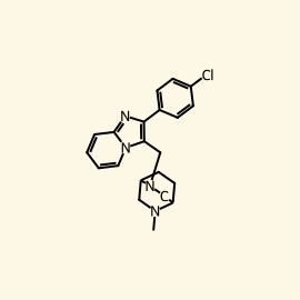 CN1CC2CCC1CN2Cc1c(-c2ccc(Cl)cc2)nc2ccccn12